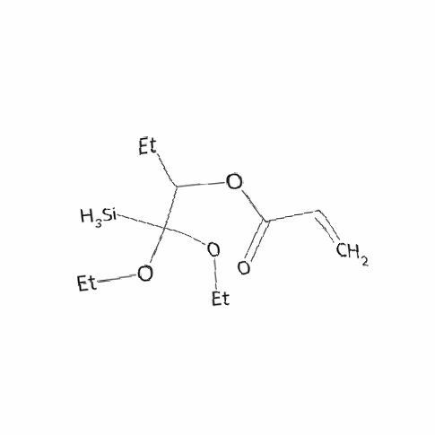 C=CC(=O)OC(CC)C([SiH3])(OCC)OCC